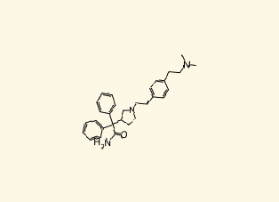 CN(C)CCc1ccc(CCN2CCC(C(C(N)=O)(c3ccccc3)c3ccccc3)C2)cc1